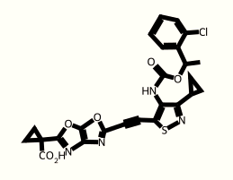 CC(OC(=O)Nc1c(C2CC2)nsc1C#Cc1nc2nc(C3(C(=O)O)CC3)oc2o1)c1ccccc1Cl